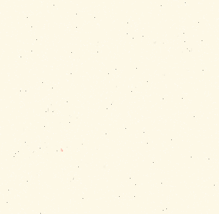 CCCCCCCC(CCCCCC(C(=O)O)(C(C)(C)C(=O)O)C(C)(C(=O)O)C(C)(C)C(=O)O)C1CCNCC1